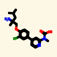 CC(C)CC(C)(N)COc1ccc(-c2ccnc(N(C)C(=O)O)c2)cc1Cl